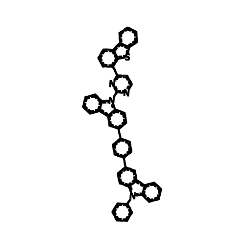 c1ccc(-n2c3ccccc3c3cc(-c4ccc(-c5ccc6c(c5)c5ccccc5n6-c5nccc(-c6cccc7c6sc6ccccc67)n5)cc4)ccc32)cc1